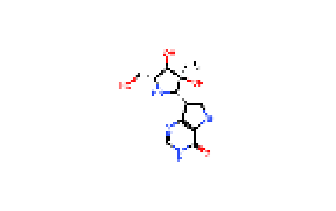 C[C@@]1(O)[C@H](O)[C@@H](CO)N[C@H]1C1CNc2c1nc[nH]c2=O